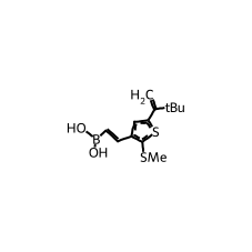 C=C(c1cc(/C=C/B(O)O)c(SC)s1)C(C)(C)C